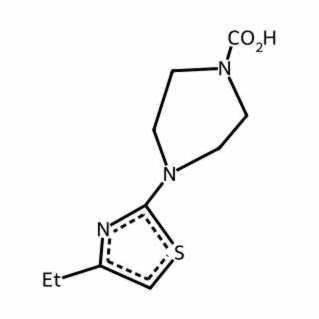 CCc1csc(N2CCN(C(=O)O)CC2)n1